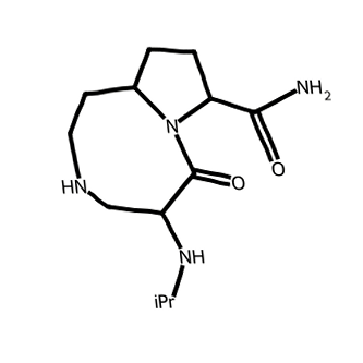 CC(C)NC1CNCCC2CCC(C(N)=O)N2C1=O